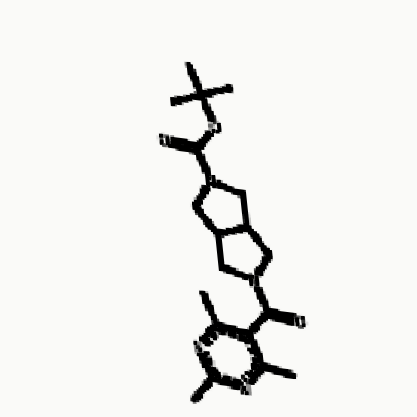 Cc1nc(C)c(C(=O)N2CC3CN(C(=O)OC(C)(C)C)CC3C2)c(C)n1